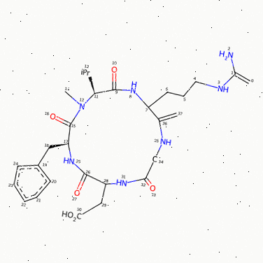 C=C(N)NCCCC1NC(=O)[C@H](C(C)C)N(C)C(=O)[C@H](Cc2ccccc2)NC(=O)C(CC(=O)O)NC(=O)CNC1=C